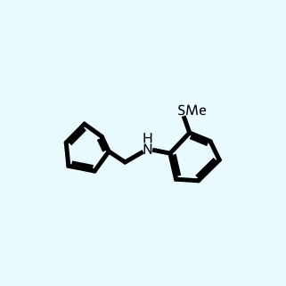 CSc1ccccc1NCc1ccccc1